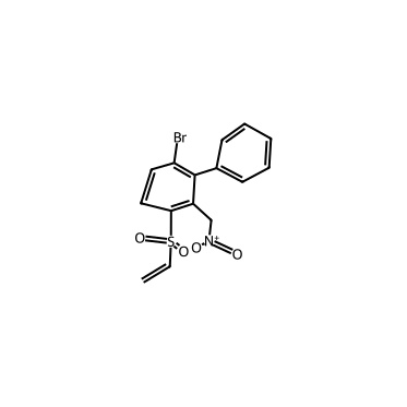 C=CS(=O)(=O)c1ccc(Br)c(-c2ccccc2)c1C[N+](=O)[O-]